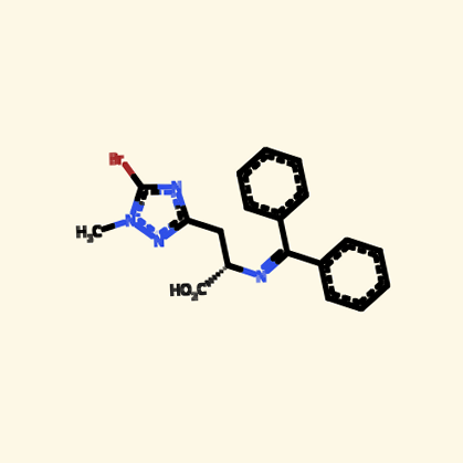 Cn1nc(C[C@H](N=C(c2ccccc2)c2ccccc2)C(=O)O)nc1Br